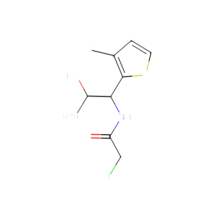 CCCCC(O)C(NC(=O)CCl)c1sccc1C